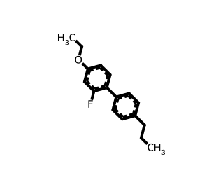 CCCc1ccc(-c2ccc(OCC)cc2F)cc1